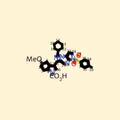 COc1ccc2c(c1)c(-c1nc(C3CCCCC3)n3c1cnc1c3ccn1S(=O)(=O)c1ccc(C)cc1)cn2C(=O)O